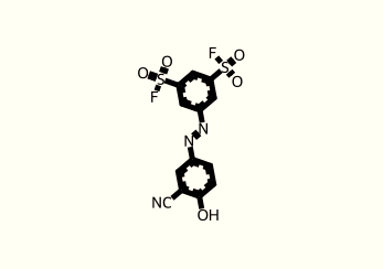 N#Cc1cc(N=Nc2cc(S(=O)(=O)F)cc(S(=O)(=O)F)c2)ccc1O